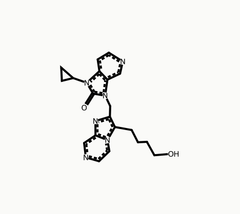 O=c1n(Cc2nc3cnccn3c2CCCCO)c2cnccc2n1C1CC1